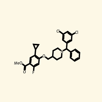 COC(=O)c1cc(C2CC2)c(OCC2CCN(C(c3ccccc3)c3cc(Cl)cc(Cl)c3)CC2)cc1F